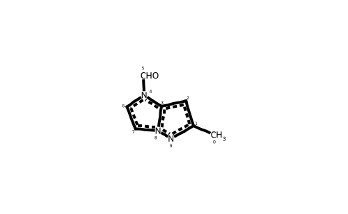 Cc1cc2n(C=O)ccn2n1